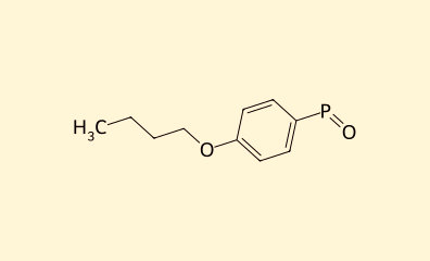 CCCCOc1ccc(P=O)cc1